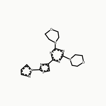 c1cnn(-c2nc(-c3nc(N4CCOCC4)nc(N4CCOCC4)n3)cs2)c1